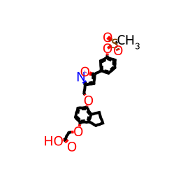 CS(=O)(=O)Oc1cccc(-c2cc(COc3ccc(OCC(=O)O)c4c3CCC4)no2)c1